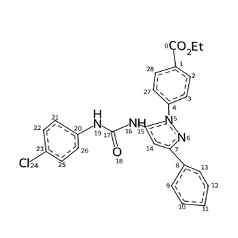 CCOC(=O)c1ccc(-n2nc(-c3ccccc3)cc2NC(=O)Nc2ccc(Cl)cc2)cc1